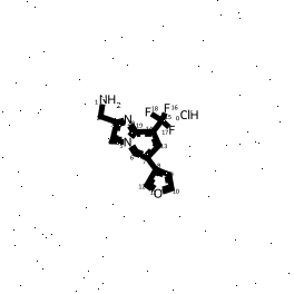 Cl.NCc1cn2cc(-c3ccoc3)cc(C(F)(F)F)c2n1